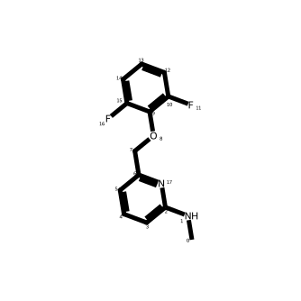 CNc1cccc(COc2c(F)cccc2F)n1